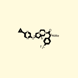 CN[C@@H](C(=O)N1CCN2C[C@H](Oc3cnc(C4CC4)cn3)C[C@H]2C1)c1ccc(C(F)(F)F)cc1